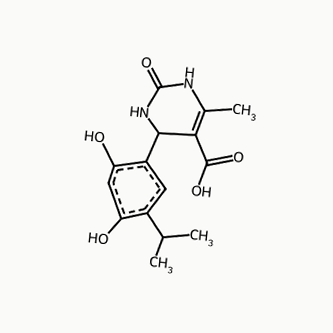 CC1=C(C(=O)O)C(c2cc(C(C)C)c(O)cc2O)NC(=O)N1